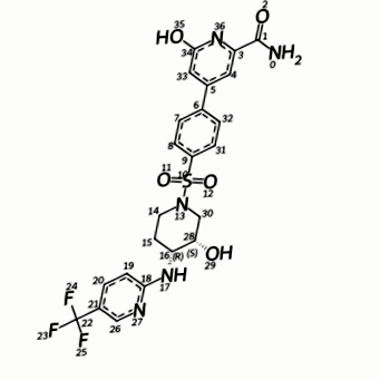 NC(=O)c1cc(-c2ccc(S(=O)(=O)N3CC[C@@H](Nc4ccc(C(F)(F)F)cn4)[C@@H](O)C3)cc2)cc(O)n1